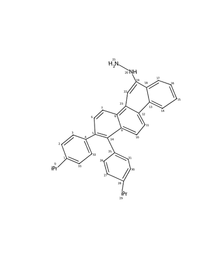 CC(C)c1ccc(-c2ccc3c(ccc4c5ccccc5c(NN)cc34)c2-c2ccc(C(C)C)cc2)cc1